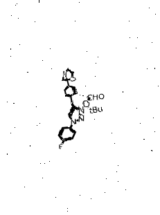 CC(C)(C)OC=O.Fc1ccc(-n2cc(-c3ccc(C45CN4CCO5)cc3)nn2)cc1